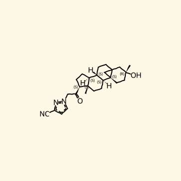 C[C@@]1(O)CC[C@@]23CC2(CC[C@H]2[C@@H]4CC[C@H](C(=O)Cn5ccc(C#N)n5)[C@@]4(C)CC[C@@H]23)C1